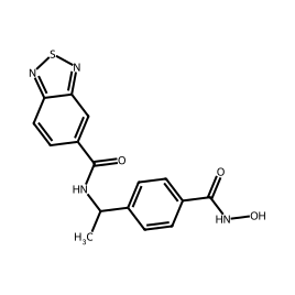 CC(NC(=O)c1ccc2nsnc2c1)c1ccc(C(=O)NO)cc1